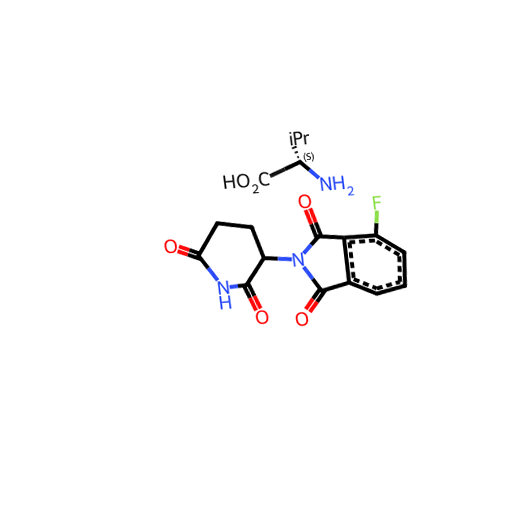 CC(C)[C@H](N)C(=O)O.O=C1CCC(N2C(=O)c3cccc(F)c3C2=O)C(=O)N1